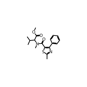 COC(=O)C(C(C)C)N(C)C(=O)c1sc(C)nc1-c1ccccc1